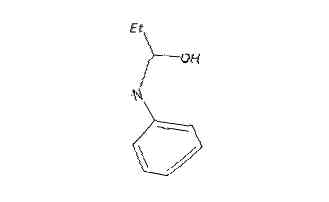 CCC(O)[N]c1ccccc1